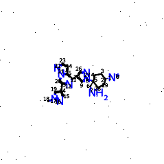 C#[N+][C@H]1CC[C@@](CN)(n2cc(-c3nc(-c4cnn(C)c4)cn4nccc34)cn2)CC1